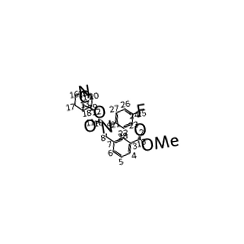 COC(=O)c1cccc(CN(C(=O)OC2CN3CCC2CC3)c2ccc(F)cc2)c1